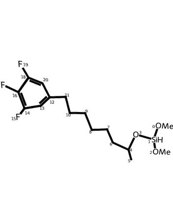 CO[SiH](OC)OC(C)CCCCCCc1cc(F)c(F)c(F)c1